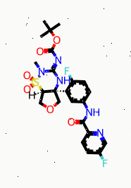 CN1/C(=N\C(=O)OC(C)(C)C)N[C@@]2(c3cc(NC(=O)c4ccc(F)cn4)ccc3F)COC[C@H]2S1(=O)=O